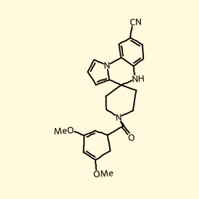 COC1=CC(C(=O)N2CCC3(CC2)Nc2ccc(C#N)cc2-n2cccc23)CC(OC)=C1